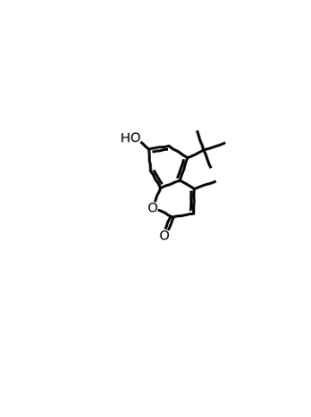 Cc1cc(=O)oc2cc(O)cc(C(C)(C)C)c12